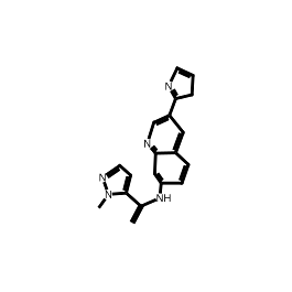 C=C(Nc1ccc2cc(C3=NC=CC3)cnc2c1)c1ccnn1C